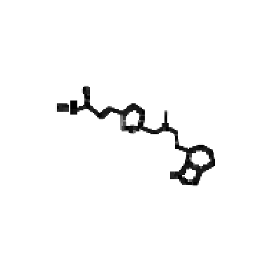 CN(CCc1cccc2cc[nH]c12)Cc1ccc(/C=C/C(=O)NO)cc1